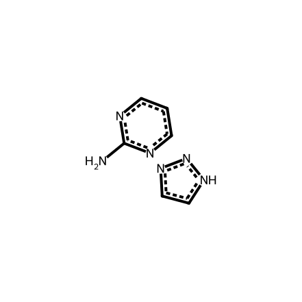 Nc1ncccn1.c1c[nH]nn1